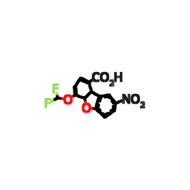 O=C(O)C1=CC=C(OC(F)F)C2Oc3ccc([N+](=O)[O-])cc3C12